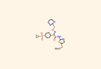 COCc1cnc(NC(=O)/C(=N/OCc2ncccn2)c2ccc(S(=O)(=O)C3CC3)cc2)s1